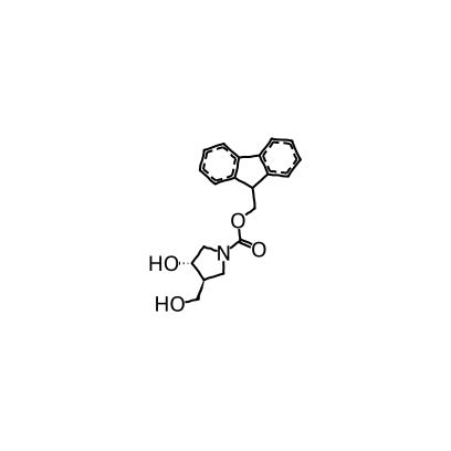 O=C(OCC1c2ccccc2-c2ccccc21)N1C[C@@H](CO)[C@H](O)C1